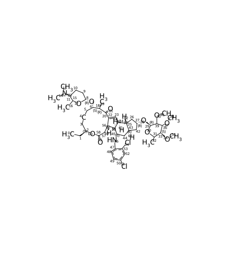 CC[C@H]1CCC[C@H](O[C@H]2CC[C@H](N(C)C)C(C)O2)[C@@H](C)C(=O)C2=C[C@H]3[C@@H]4C[C@H](O[C@@H]5OC(C)[C@H](OC)C(OC)C5OC)C[C@H]4C[C@H](Nc4ccc(Cl)cc4Cl)[C@H]3[C@@H]2CC(=O)O1